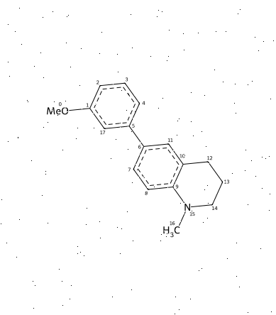 COc1cccc(-c2ccc3c(c2)CCCN3C)c1